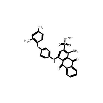 Cc1ccc(Sc2ccc(Nc3cc(S(=O)(=O)[O-])c(N)c4c3C(=O)c3ccccc3C4=O)cc2)c(C)c1.[Na+]